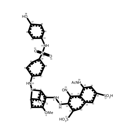 COc1cc2c(C)c(c1NNc1c(S(=O)(=O)O)cc3cc(S(=O)(=O)O)cc(NC(C)=O)c3c1N=O)N2Nc1ccc(S(=O)(=O)Nc2ccc(O)cc2)cc1